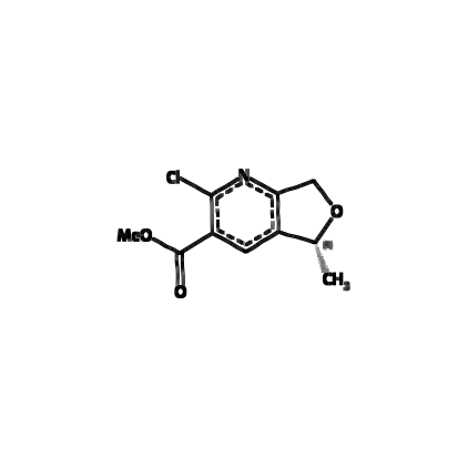 COC(=O)c1cc2c(nc1Cl)CO[C@@H]2C